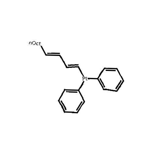 CCCCCCCCC=CC=[CH][Pt]([c]1ccccc1)[c]1ccccc1